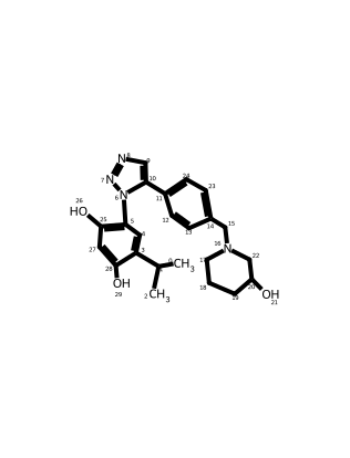 CC(C)c1cc(-n2nncc2-c2ccc(CN3CCCC(O)C3)cc2)c(O)cc1O